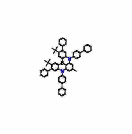 Cc1cc2c3c(c1)N(c1ccc(-c4ccccc4)cc1)c1cc(-c4ccccc4)c(C(C)(C)C)cc1B3c1cc(C(C)(C)C)c(-c3ccccc3)cc1N2c1ccc(-c2ccccc2)cc1